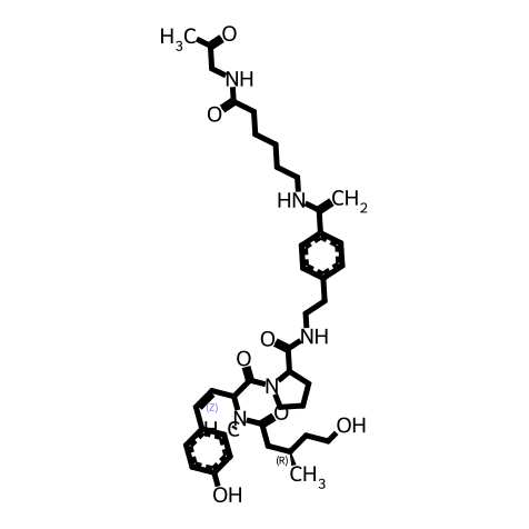 C=C(NCCCCCC(=O)NCC(C)=O)c1ccc(CCNC(=O)C2CCCN2C(=O)C(/C=C\c2ccc(O)cc2)N(C)C(=O)C[C@H](C)CCO)cc1